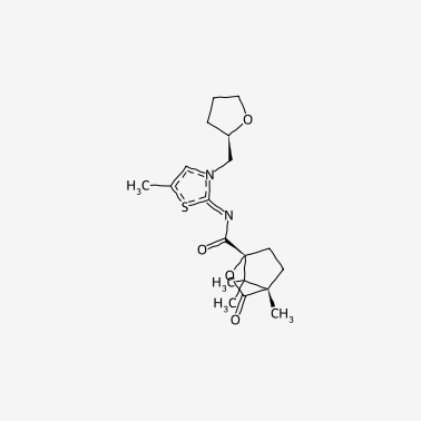 Cc1cn(C[C@H]2CCCO2)/c(=N/C(=O)[C@]23CC[C@](C)(C(=O)O2)C3(C)C)s1